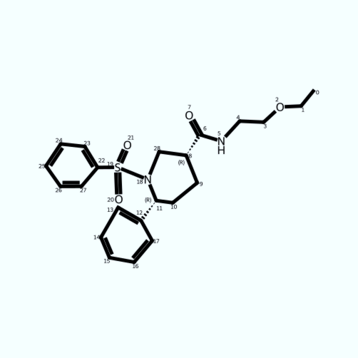 CCOCCNC(=O)[C@@H]1CC[C@H](c2ccccc2)N(S(=O)(=O)c2ccccc2)C1